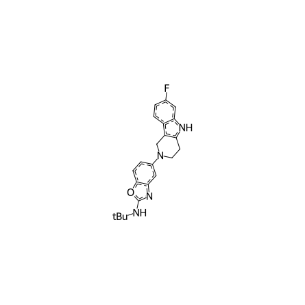 CC(C)(C)Nc1nc2cc(N3CCc4[nH]c5cc(F)ccc5c4C3)ccc2o1